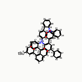 CC(C)(C)c1cc(-c2cccc3cccc(-c4ccccc4N(c4ccc5c6ccccc6n(-c6ccccc6)c5c4)c4ccc(-c5ccccc5)cc4-c4ccccc4)c23)cc(C(C)(C)C)c1